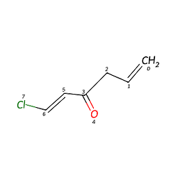 C=CCC(=O)C=CCl